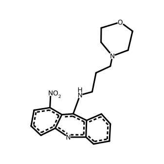 O=[N+]([O-])c1cccc2nc3ccccc3c(NCCCN3CCOCC3)c12